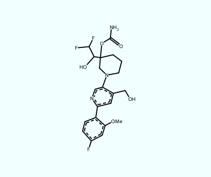 COc1cc(F)ccc1-c1cc(CO)c(N2CCCC(OC(N)=O)(C(O)C(F)F)C2)cn1